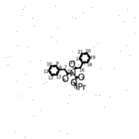 CC(C)OC(=O)N(C(=O)Cc1ccccc1)C(=O)Cc1ccccc1